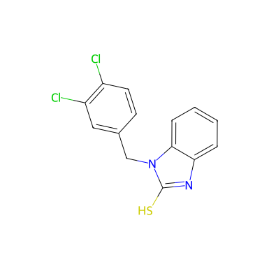 Sc1nc2ccccc2n1Cc1ccc(Cl)c(Cl)c1